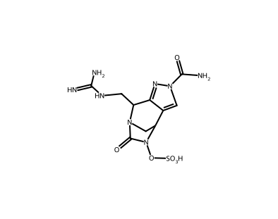 N=C(N)NCC1c2nn(C(N)=O)cc2C2CN1C(=O)N2OS(=O)(=O)O